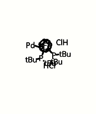 CC(C)(C)P(C(C)(C)C)[C]12[CH]3[CH]4[C]5([Pd])[C]1(P(C(C)(C)C)C(C)(C)C)[Fe]43521678[CH]2[CH]1[CH]6[CH]7[CH]28.Cl.Cl